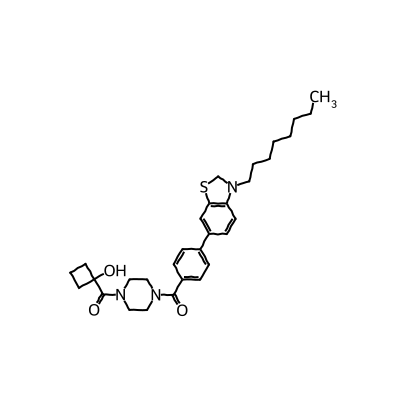 CCCCCCCCN1CSc2cc(-c3ccc(C(=O)N4CCN(C(=O)C5(O)CCC5)CC4)cc3)ccc21